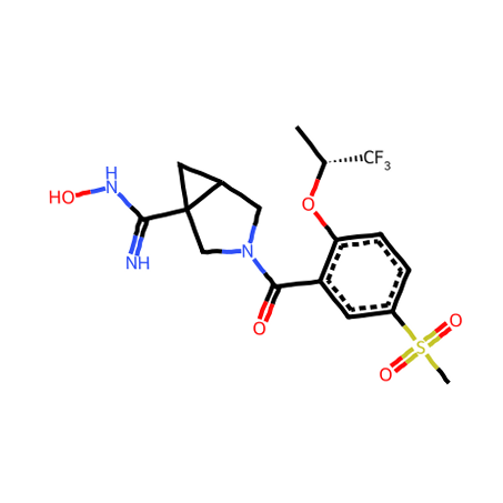 C[C@@H](Oc1ccc(S(C)(=O)=O)cc1C(=O)N1CC2CC2(C(=N)NO)C1)C(F)(F)F